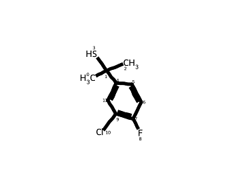 CC(C)(S)c1ccc(F)c(Cl)c1